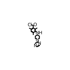 Cc1cc(C)c(C(=O)Cl)c(C)c1NC1CCN(c2cnccn2)CC1